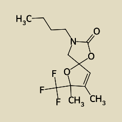 CCCCN1CC2(C=C(C)C(C)(C(F)(F)F)O2)OC1=O